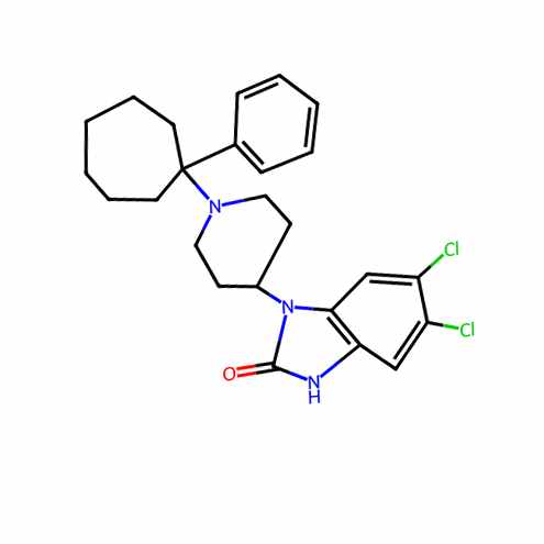 O=c1[nH]c2cc(Cl)c(Cl)cc2n1C1CCN(C2(c3ccccc3)CCCCCC2)CC1